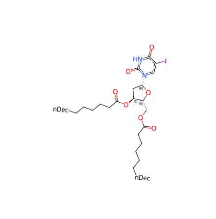 CCCCCCCCCCCCCCCC(=O)OC[C@H]1O[C@@H](n2cc(I)c(=O)[nH]c2=O)C[C@@H]1OC(=O)CCCCCCCCCCCCCCC